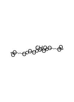 C=CC(=O)OCCCCCCOc1ccc(OCCOc2ccc(OCCOc3ccc(OCCCCCCOC(=O)C=C)cc3)c(C=O)c2)cc1